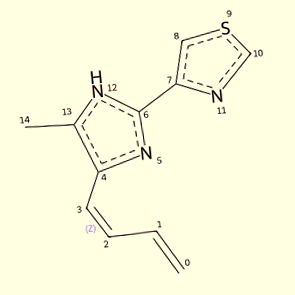 C=C/C=C\c1nc(-c2cscn2)[nH]c1C